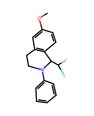 COc1ccc2c(c1)CCN(c1ccccc1)C2C(F)F